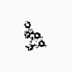 Cc1ncc(COc2cc(F)cc(Oc3ccc(-c4nn(C5CCOCC5)c5ncnc(N)c45)cc3)c2)[nH]1